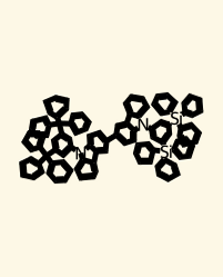 c1ccc(C(c2ccccc2)(c2ccccc2)c2cc(-n3c4ccccc4c4cc(-c5ccc6c(c5)c5ccccc5n6-c5cc([Si](c6ccccc6)(c6ccccc6)c6ccccc6)cc([Si](c6ccccc6)(c6ccccc6)c6ccccc6)c5)ccc43)cc(C(c3ccccc3)(c3ccccc3)c3ccccc3)c2)cc1